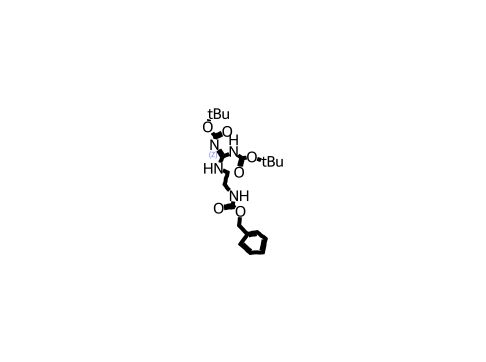 CC(C)(C)OC(=O)/N=C(/NCCNC(=O)OCc1ccccc1)NC(=O)OC(C)(C)C